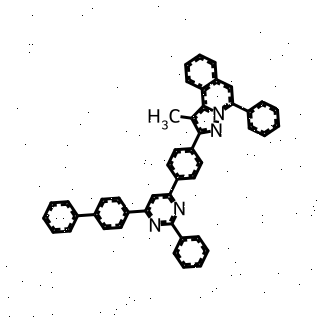 Cc1c(-c2ccc(-c3cc(-c4ccc(-c5ccccc5)cc4)nc(-c4ccccc4)n3)cc2)nn2c(-c3ccccc3)cc3ccccc3c12